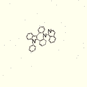 C1=CC2=C(CC1)N(c1nccc3ccccc13)c1ccccc1-c1c2n(-c2ccccc2)c2ccccc12